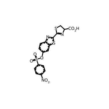 O=C(O)C1CSC(c2nc3ccc(OS(=O)(=O)c4ccc([N+](=O)[O-])cc4)cc3s2)=N1